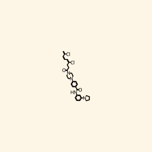 C=C(Cl)/C=C\C=C(\Cl)CCC(=O)N1CCN(c2ccc(C(=O)Nc3cccc(N4CCCC4)c3)cc2)CC1